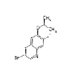 CC(C)Oc1cc2cc(Br)cnc2cc1F